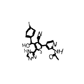 CC(=O)Nc1cc(-c2sc(-c3nnc[nH]3)c(C(O)c3ccc(I)cc3)c2C#N)ccn1